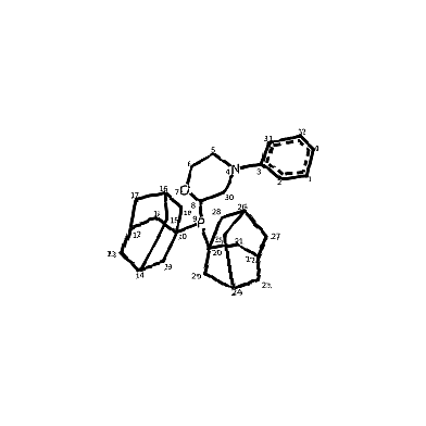 c1ccc(N2CCOC(P(C34CC5CC(CC(C5)C3)C4)C34CC5CC(CC(C5)C3)C4)C2)cc1